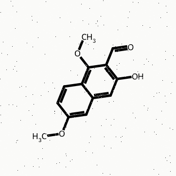 COc1ccc2c(OC)c(C=O)c(O)cc2c1